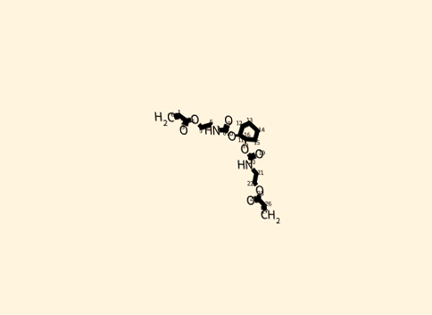 C=CC(=O)OCCNC(=O)O[C@H]1CCCC[C@@H]1OC(=O)NCCOC(=O)C=C